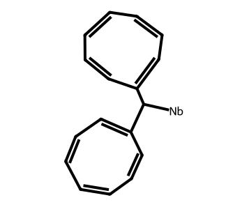 [Nb][CH](C1=CC=CC=CC=C1)C1=CC=CC=CC=C1